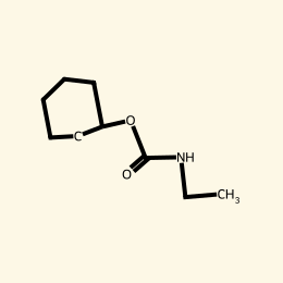 CCNC(=O)OC1CCCCC1